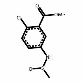 COC(=O)c1cc(N[S+](C)[O-])ccc1Cl